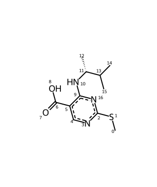 CSc1ncc(C(=O)O)c(N[C@H](C)C(C)C)n1